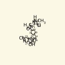 Cc1[nH]nc(CN(C)C(=O)c2ccc(C[C@@H]3CC[C@H](C(O)c4ccc(Cl)nc4)N3)cc2)c1Cl